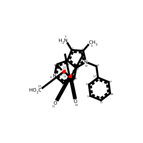 Cc1c(N)c2c3ncc(c2n1Cc1ccccc1)C(=O)C(=O)C(C(=O)O)O3